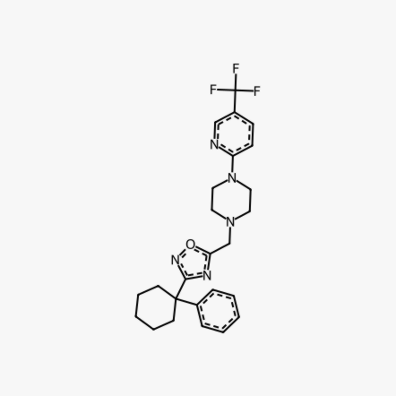 FC(F)(F)c1ccc(N2CCN(Cc3nc(C4(c5ccccc5)CCCCC4)no3)CC2)nc1